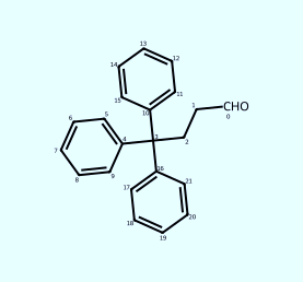 O=CCCC(c1ccccc1)(c1ccccc1)c1ccccc1